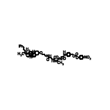 CC(C)CCC[C@@H](C)[C@H]1CC[C@H]2[C@@H]3CC=C4CC(OCCCNC(=O)CCC(=O)N[C@@H](C)C(=O)NCC(=O)Nc5ccc(COC(=O)Oc6ccc([N+](=O)[O-])cc6)cc5)CC[C@]4(C)[C@H]3CC[C@]12C